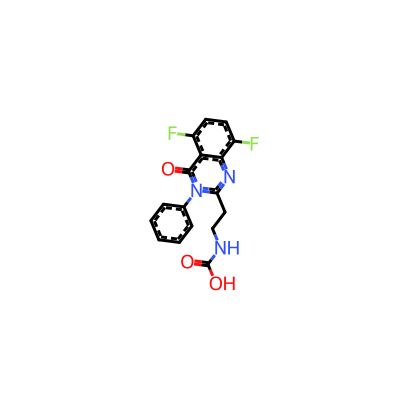 O=C(O)NCCc1nc2c(F)ccc(F)c2c(=O)n1-c1ccccc1